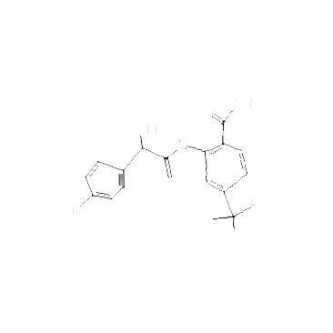 NC(=O)c1ccc(C(F)(F)F)cc1NC(=O)C(O)c1ccc(F)cc1